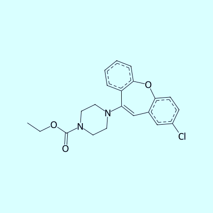 CCOC(=O)N1CCN(C2=Cc3cc(Cl)ccc3Oc3ccccc32)CC1